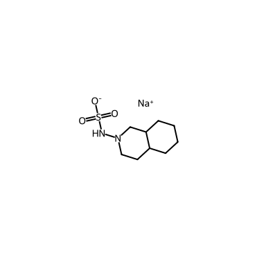 O=S(=O)([O-])NN1CCC2CCCCC2C1.[Na+]